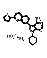 NC(=O)O.Nc1ncnc2c1c(-c1ccc3ccc(-c4cccs4)nc3c1)nn2C1CCCCC1